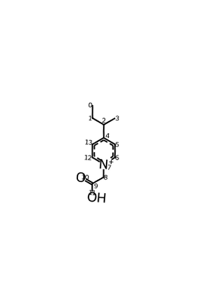 CCC(C)c1cc[n+](CC(=O)O)cc1